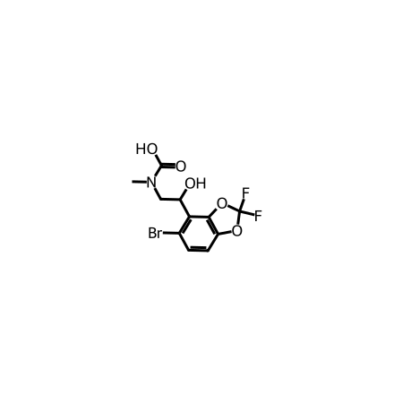 CN(CC(O)c1c(Br)ccc2c1OC(F)(F)O2)C(=O)O